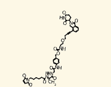 C[C@H](NC(=O)CCCCCN1C(=O)C=CC1=O)C(=O)NCC(=O)Nc1ccc(COC(=O)NCCOCCC#Cc2cccc3c2CN(C2CCC(=O)NC2=O)C3=O)cc1